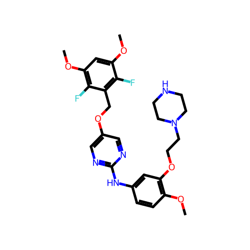 COc1ccc(Nc2ncc(OCc3c(F)c(OC)cc(OC)c3F)cn2)cc1OCCN1CCNCC1